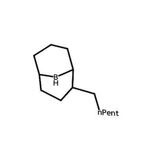 CCCCCCC1CCC2BC1CCC2